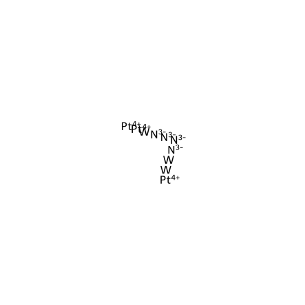 [N-3].[N-3].[N-3].[N-3].[Pt+4].[Pt+4].[Pt+4].[W].[W].[W]